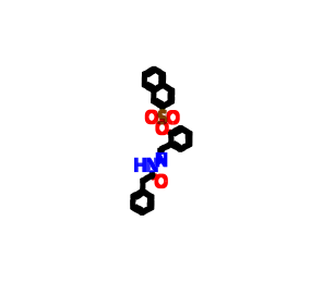 O=C(Cc1ccccc1)N/N=C/c1ccccc1OS(=O)(=O)c1ccc2ccccc2c1